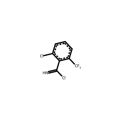 N=C(Cl)c1c(Cl)cccc1C(F)(F)F